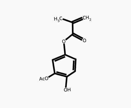 C=C(C)C(=O)Oc1ccc(O)c(OC(C)=O)c1